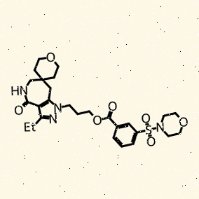 CCc1nn(CCCOC(=O)c2cccc(S(=O)(=O)N3CCOCC3)c2)c2c1C(=O)NCC1(CCOCC1)C2